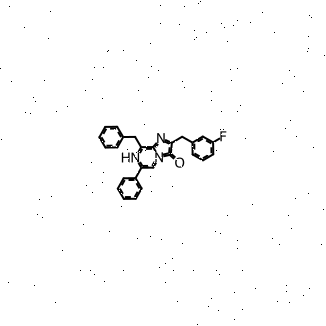 O=c1c(Cc2cccc(F)c2)nc2c(Cc3ccccc3)[nH]c(-c3ccccc3)cn1-2